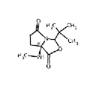 CP[C@@]12CCC(=O)N1C(C(C)(C)C)OC2=O